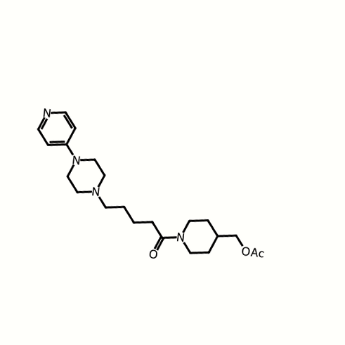 CC(=O)OCC1CCN(C(=O)CCCCN2CCN(c3ccncc3)CC2)CC1